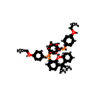 CCOc1ccc([P@](c2ccccc2)c2cccc3c2Oc2c([P@@](c4ccccc4)c4ccc(OCC)cc4)cccc2C3(C)C)cc1